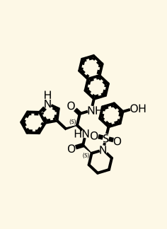 O=C(Nc1ccc2ccccc2c1)[C@H](Cc1c[nH]c2ccccc12)NC(=O)[C@@H]1CCCCN1S(=O)(=O)c1cccc(O)c1